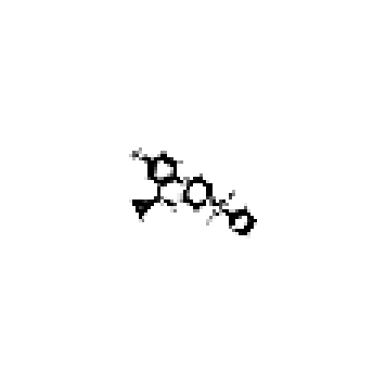 O=S(=O)(c1cccs1)N1CCN(c2ccc(O)cc2)[C@@H](CNC2CC2)C1